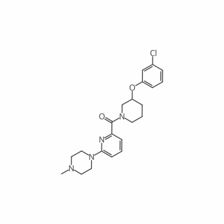 CN1CCN(c2cccc(C(=O)N3CCCC(Oc4cccc(Cl)c4)C3)n2)CC1